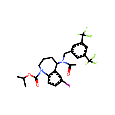 CC(=O)N(Cc1cc(C(F)(F)F)cc(C(F)(F)F)c1)C1CCCN(C(=O)OC(C)C)c2ccc(I)cc21